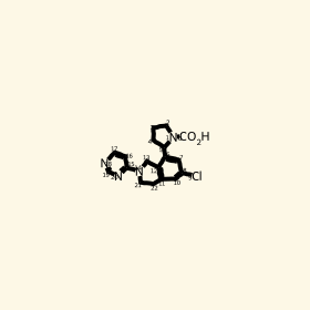 O=C(O)N1CCCC1c1cc(Cl)cc2c1CN(c1ccncn1)CC2